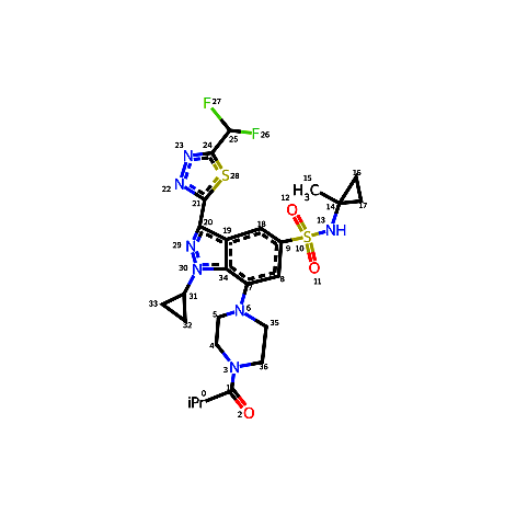 CC(C)C(=O)N1CCN(c2cc(S(=O)(=O)NC3(C)CC3)cc3c(-c4nnc(C(F)F)s4)nn(C4CC4)c23)CC1